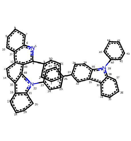 c1ccc(-c2nc3ccccc3c3ccc4c5ccccc5n(-c5ccc(-c6ccc7c(c6)c6ccccc6n7-c6ccccc6)cc5)c4c23)cc1